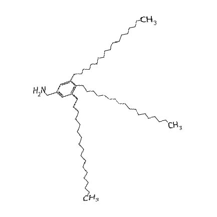 CCCCCCCCCCCCCCCCCCc1cc(CN)cc(CCCCCCCCCCCCCCCCCC)c1CCCCCCCCCCCCCCCCCC